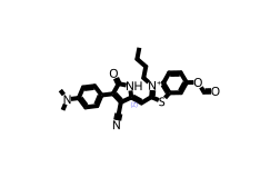 CCCC[n+]1c(/C=C2\NC(=O)C(c3ccc(N(C)C)cc3)=C2C#N)sc2cc(OC=O)ccc21